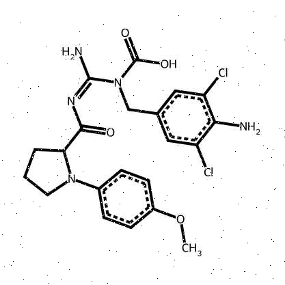 COc1ccc(N2CCCC2C(=O)N=C(N)N(Cc2cc(Cl)c(N)c(Cl)c2)C(=O)O)cc1